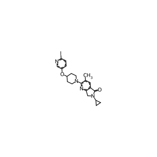 Cc1cc2c(nc1N1CCC(Oc3ccc(I)nc3)CC1)CN(C1CC1)C2=O